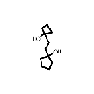 OC1(CCC2(O)CCC2)CCCC1